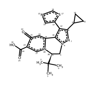 CC(C)(C)[C@@H]1Cn2nc(C3CC3)c(-c3cncs3)c2-c2cc(=O)c(C(=O)O)cn21